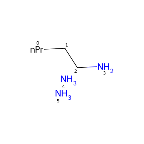 CCCCCN.N.N